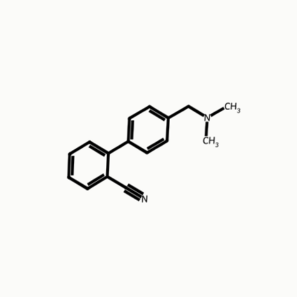 CN(C)Cc1ccc(-c2ccccc2C#N)cc1